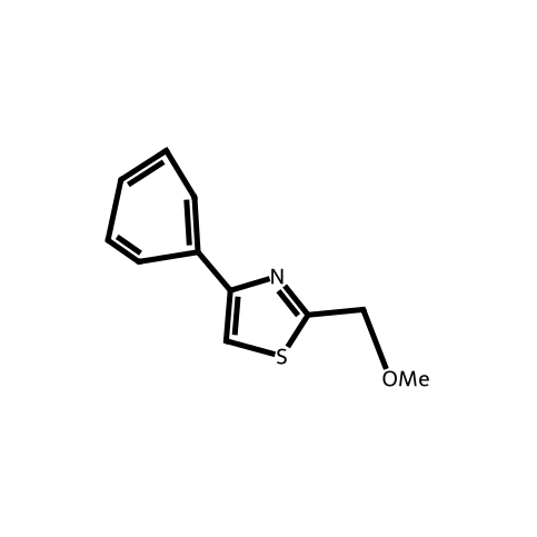 COCc1nc(-c2ccccc2)cs1